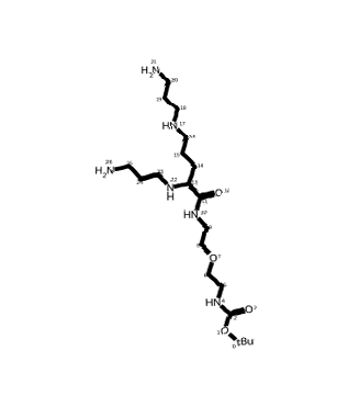 CC(C)(C)OC(=O)NCCOCCNC(=O)C(CCCNCCCN)NCCCN